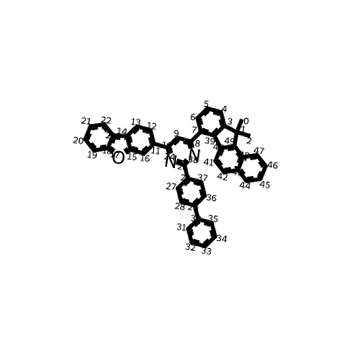 CC1(C)c2cccc(-c3cc(-c4ccc5c(c4)oc4ccccc45)nc(-c4ccc(-c5ccccc5)cc4)n3)c2-c2ccc3ccccc3c21